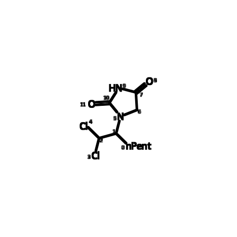 CCCCCC(C(Cl)Cl)N1CC(=O)NC1=O